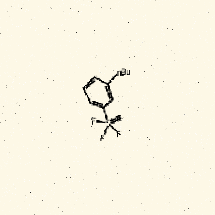 C=S(F)(F)(F)c1cccc(CCCC)c1